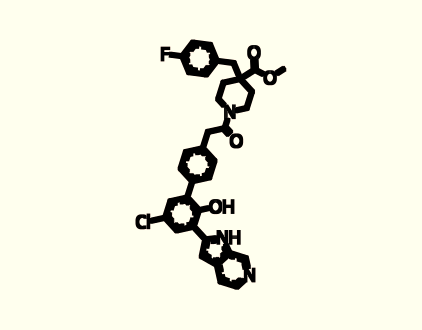 COC(=O)C1(Cc2ccc(F)cc2)CCN(C(=O)Cc2ccc(-c3cc(Cl)cc(-c4cc5ccncc5[nH]4)c3O)cc2)CC1